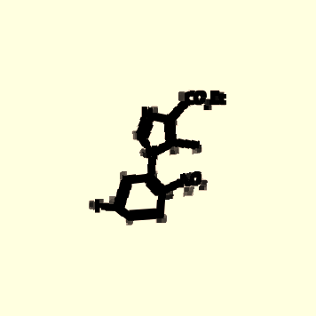 CCOC(=O)c1ncn(-c2cc(F)ccc2[N+](=O)[O-])c1C